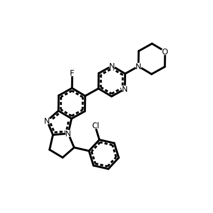 Fc1cc2nc3n(c2cc1-c1cnc(N2CCOCC2)nc1)C(c1ccccc1Cl)CC3